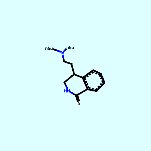 CCCCN(CCCC)CCC1CNC(=S)c2ccccc21